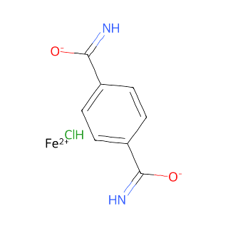 Cl.N=C([O-])c1ccc(C(=N)[O-])cc1.[Fe+2]